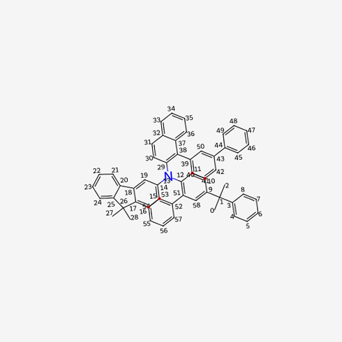 CC(C)(c1ccccc1)c1ccc(N(c2ccc3c(c2)-c2ccccc2C3(C)C)c2ccc3ccccc3c2-c2cccc(-c3ccccc3)c2)c(-c2ccccc2)c1